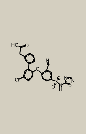 N#Cc1cc(S(=O)(=O)Nc2ncns2)ccc1Oc1ccc(Cl)cc1-c1cccc(CC(=O)O)c1